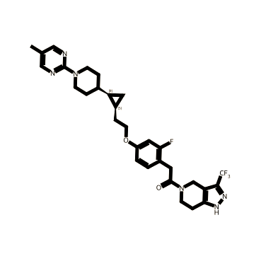 Cc1cnc(N2CCC([C@H]3C[C@H]3CCOc3ccc(CC(=O)N4CCc5[nH]nc(C(F)(F)F)c5C4)c(F)c3)CC2)nc1